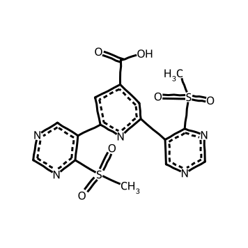 CS(=O)(=O)c1ncncc1-c1cc(C(=O)O)cc(-c2cncnc2S(C)(=O)=O)n1